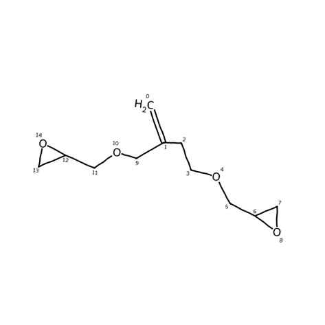 C=C(CCOCC1CO1)COCC1CO1